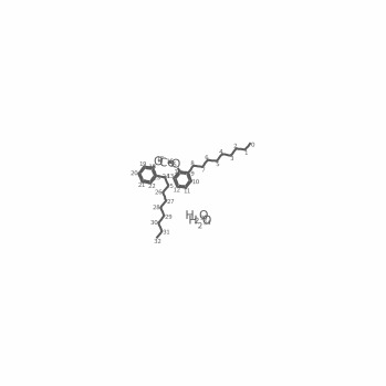 CCCCCCCCCc1ccccc1[O][Co][O]c1ccccc1CCCCCCCCC.O.O